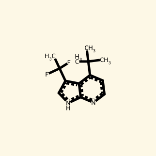 CC(C)(C)c1ccnc2[nH]cc(C(C)(F)F)c12